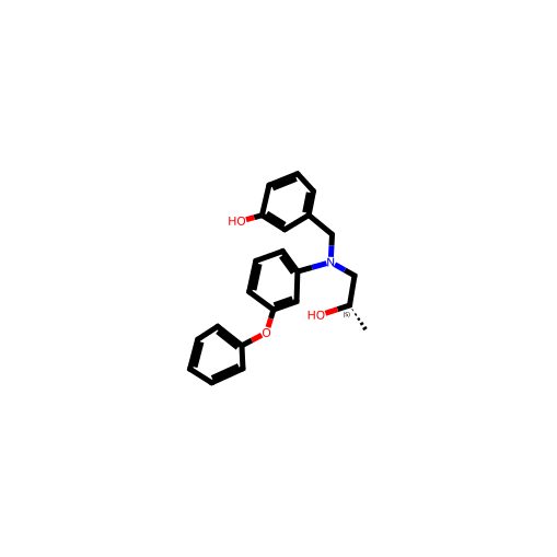 C[C@H](O)CN(Cc1cccc(O)c1)c1cccc(Oc2ccccc2)c1